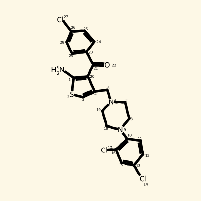 Nc1scc(CN2CCN(c3ccc(Cl)cc3Cl)CC2)c1C(=O)c1ccc(Cl)cc1